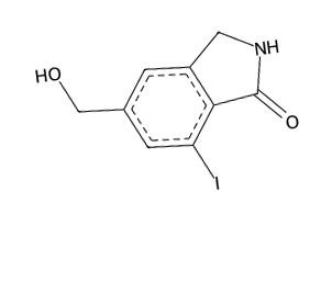 O=C1NCc2cc(CO)cc(I)c21